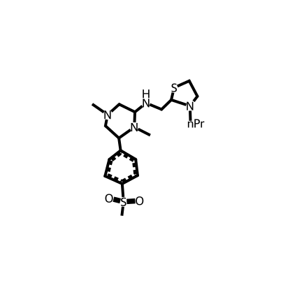 CCCN1CCSC1CNC1CN(C)CC(c2ccc(S(C)(=O)=O)cc2)N1C